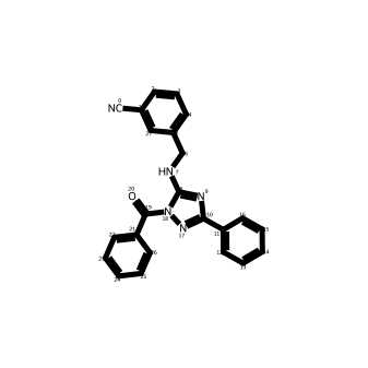 N#Cc1cccc(CNc2nc(-c3ccccc3)nn2C(=O)c2ccccc2)c1